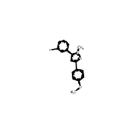 COc1ccc(-c2cc(-c3cccc(F)c3)n(C)n2)cc1